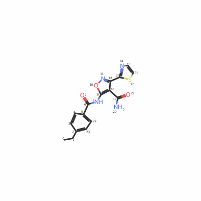 CCc1ccc(C(=O)Nc2onc(-c3nccs3)c2C(N)=O)cc1